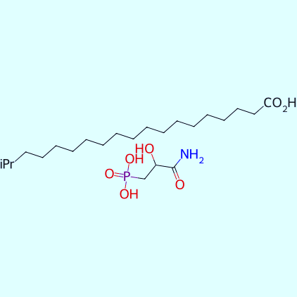 CC(C)CCCCCCCCCCCCCCCCC(=O)O.NC(=O)C(O)CP(=O)(O)O